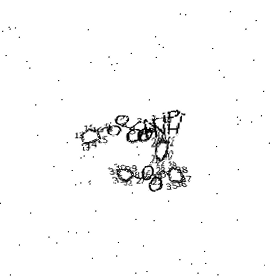 CC(C)CN(CC(O)C(=O)OCc1ccccc1)C(=O)Nc1ccc(C(C(=O)OCc2ccccc2)c2ccccc2)cc1